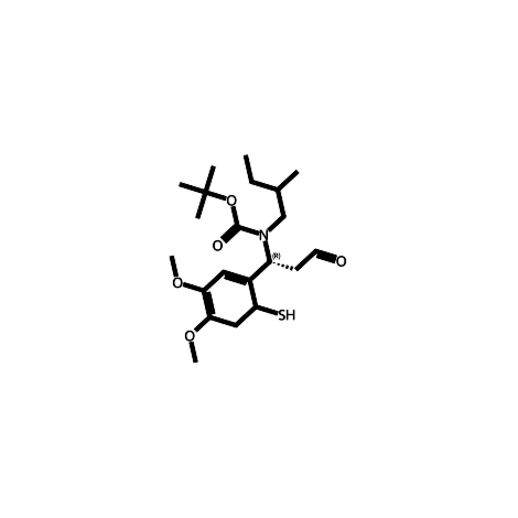 CCC(C)CN(C(=O)OC(C)(C)C)[C@H](CC=O)C1=CC(OC)=C(OC)CC1S